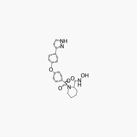 O=C(NO)C1CCCCN1S(=O)(=O)c1ccc(Oc2ccc(-c3cc[nH]n3)cc2)cc1